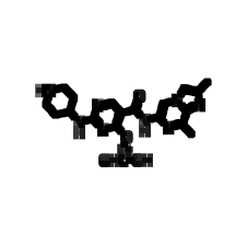 CCOc1nc(NC2CCNCC2)ncc1C(=O)Nc1cn2cc(C)nc2c(C)n1.O=CO